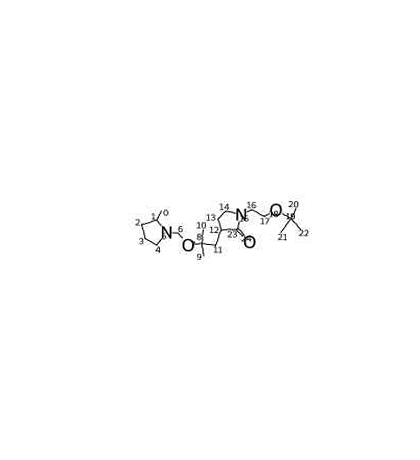 CC1CCCN1COC(C)(C)CC1CCN(CCOC(C)(C)C)C1=O